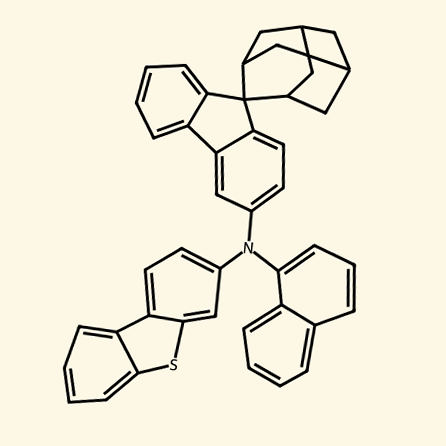 c1ccc2c(c1)-c1cc(N(c3ccc4c(c3)sc3ccccc34)c3cccc4ccccc34)ccc1C21C2CC3CC(C2)CC1C3